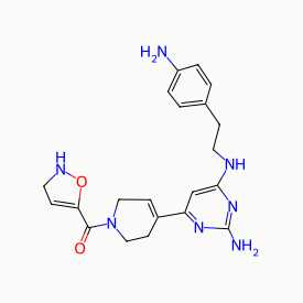 Nc1ccc(CCNc2cc(C3=CCN(C(=O)C4=CCNO4)CC3)nc(N)n2)cc1